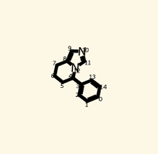 c1ccc(C2CCCc3cncn32)cc1